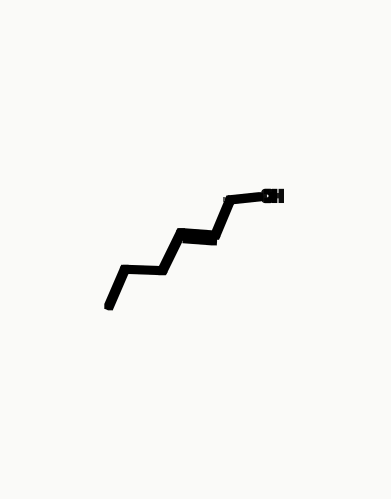 CCCC=C[CH]O